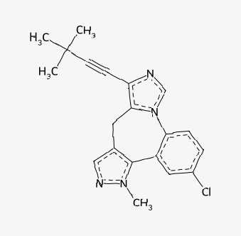 Cn1ncc2c1-c1cc(Cl)ccc1-n1cnc(C#CC(C)(C)C)c1C2